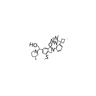 CSc1cc(C(CO)N2CCC[C@H](C)C2)cc2c1CN(c1cccc([C@]3(c4nncn4C)C[C@@H](C)C3)c1)C2=O